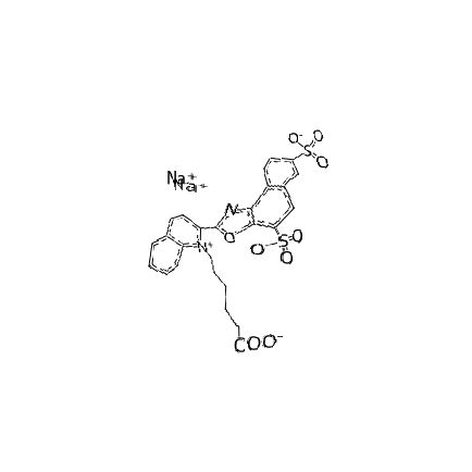 O=C([O-])CCCCC[n+]1c(-c2nc3c(o2)c(S(=O)(=O)[O-])cc2cc(S(=O)(=O)[O-])ccc23)ccc2ccccc21.[Na+].[Na+]